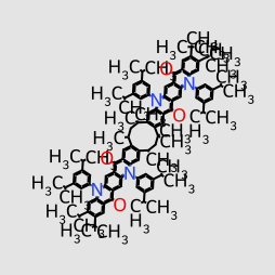 CC(C)c1cc(C(C)C)cc(-n2c3cc(C(C)C)c(C(C)C)cc3c(=O)c3cc4c(cc32)c(=O)c2cc3c(cc2n4-c2cc(C(C)C)cc(C(C)C)c2)C(C)CC(C)(C)c2cc4c(=O)c5cc6c(cc5n(-c5cc(C(C)C)cc(C(C)C)c5)c4cc2C(C)(C)CC3C)c(=O)c2cc(C(C)(C)C)c(C(C)(C)C)cc2n6-c2cc(C(C)C)cc(C(C)C)c2)c1